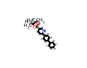 CC1(C)OB(c2ccc(-c3ccc(-c4ccccc4)cc3)nc2)OC1(C)C